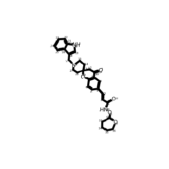 O=C(C=Cc1ccc2c(c1)C(=O)CC1(CCN(Cc3c[nH]c4ccccc34)CC1)O2)NOC1CCCCO1